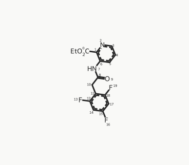 CCOC(=O)c1ncccc1NC(=O)Cc1c(F)cc(F)cc1F